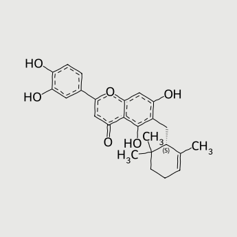 CC1=CCCC(C)(C)[C@@H]1Cc1c(O)cc2oc(-c3ccc(O)c(O)c3)cc(=O)c2c1O